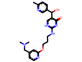 Cc1ccc(C(O)c2c[nH]c(NCCCOc3cc(CN(C)C)ccn3)nc2=O)cn1